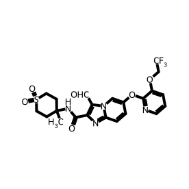 CC1(NC(=O)c2nc3ccc(Oc4ncccc4OCC(F)(F)F)cn3c2C=O)CCS(=O)(=O)CC1